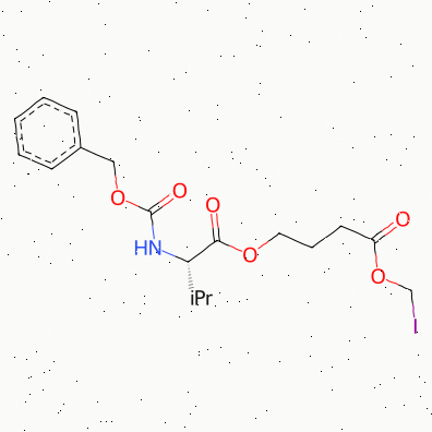 CC(C)[C@H](NC(=O)OCc1ccccc1)C(=O)OCCCC(=O)OCI